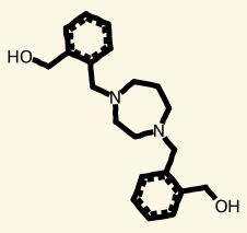 OCc1ccccc1CN1CCCN(Cc2ccccc2CO)CC1